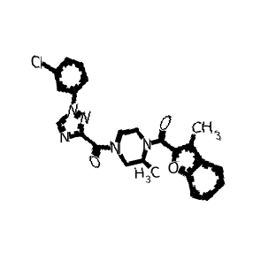 Cc1c(C(=O)N2CCN(C(=O)c3ncn(-c4cccc(Cl)c4)n3)CC2C)oc2ccccc12